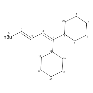 CCCCC=CC=C(C1CCCCC1)C1CCCCC1